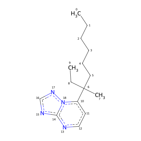 CCCCCCC(C)(CC)c1ccnc2ncnn12